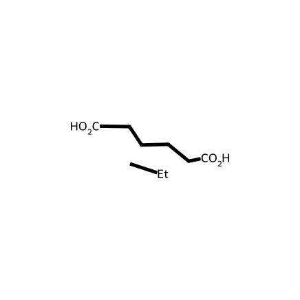 CCC.O=C(O)CCCCC(=O)O